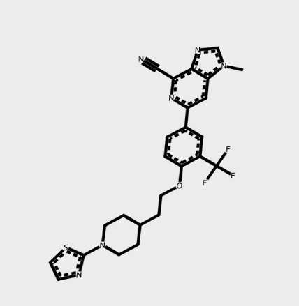 Cn1cnc2c(C#N)nc(-c3ccc(OCCC4CCN(c5nccs5)CC4)c(C(F)(F)F)c3)cc21